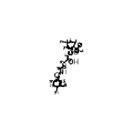 Cc1ccc(S(C)(=O)=O)c(OCC(O)CNCCOc2ccc(C)c(C)c2)c1